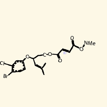 CNOC(=O)/C=C/C(=O)OCCC(C=C(C)C)Oc1ccc(Br)c(Cl)c1